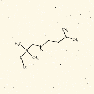 CCO[Si](C)(C)CNCCN(C)C